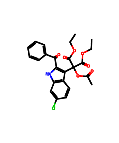 CCOC(=O)C(OC(C)=O)(C(=O)OCC)c1c(C(=O)c2ccccc2)[nH]c2cc(Cl)ccc12